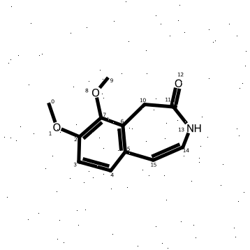 COc1ccc2c(c1OC)CC(=O)NC=C2